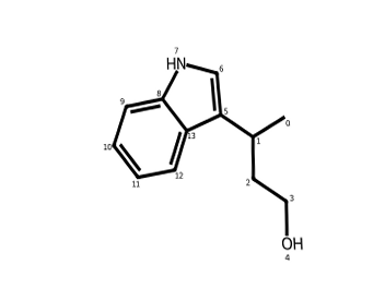 CC(CCO)c1c[nH]c2ccccc12